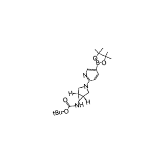 CC(C)(C)OC(=O)N[C@H]1[C@@H]2CN(c3ccc(B4OC(C)(C)C(C)(C)O4)cn3)C[C@@H]21